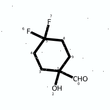 O=CC1(O)CCC(F)(F)CC1